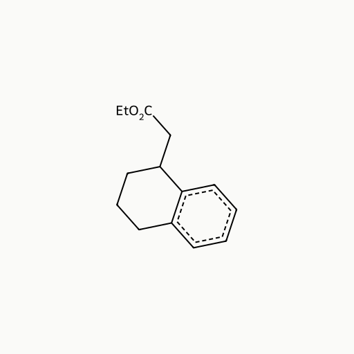 CCOC(=O)CC1CCCc2ccccc21